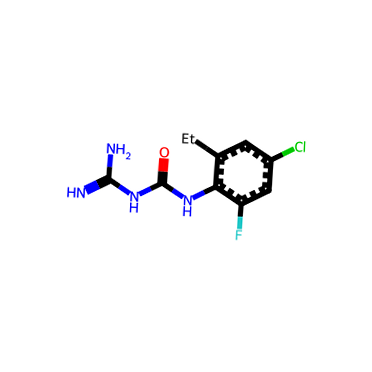 CCc1cc(Cl)cc(F)c1NC(=O)NC(=N)N